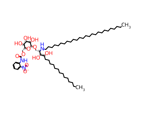 CCCCCCCCCCCCCCCCCCCCCCCCCCN[C@@H](CO[C@H]1O[C@H](COC(=O)Nc2ccccc2[N+](=O)[O-])[C@H](O)[C@H](O)[C@H]1O)[C@H](O)[C@H](O)CCCCCCCCCCCCCC